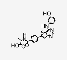 CC(NC(=O)c1ccc(-c2cc3ncnc(Nc4cccc(O)c4)c3s2)cc1)C(=O)O